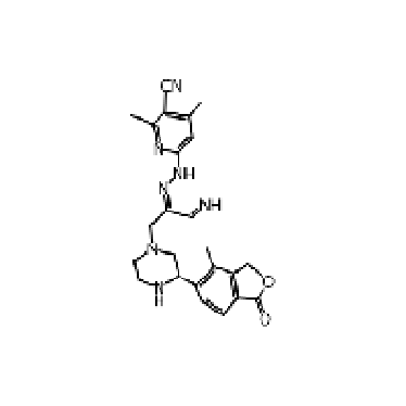 Cc1cc(N/N=C(\C=N)CN2CCN[C@H](c3ccc4c(c3C)COC4=O)C2)nc(C)c1C#N